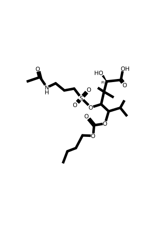 CCCCOC(=O)OC(C(C)C)C(OS(=O)(=O)CCCNC(C)=O)C(C)(C)[C@@H](O)C(=O)O